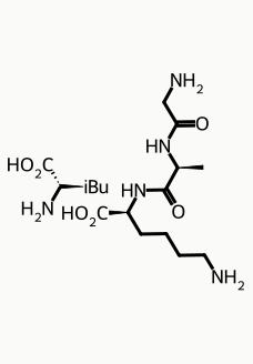 CC[C@H](C)[C@H](N)C(=O)O.C[C@H](NC(=O)CN)C(=O)N[C@@H](CCCCN)C(=O)O